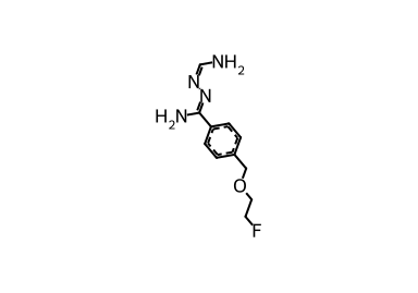 N/C=N\N=C(/N)c1ccc(COCCF)cc1